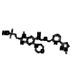 Cn1ccc(-c2cccc(COCNc3cc4c(cc3N3CCOCC3)nc(CCC(C)(C)O)n4C)n2)n1